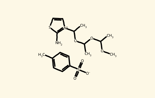 COC(C)OC(C)OC(C)[n+]1ccsc1N.Cc1ccc(S(=O)(=O)[O-])cc1